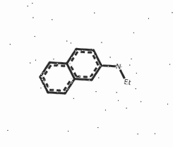 CC[N]c1ccc2ccccc2c1